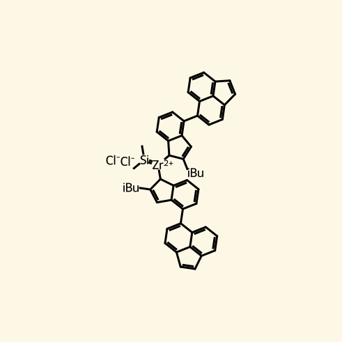 CCC(C)C1=Cc2c(-c3ccc4c5c(cccc35)C=C4)cccc2[CH]1[Zr+2]([CH]1C(C(C)CC)=Cc2c(-c3ccc4c5c(cccc35)C=C4)cccc21)=[Si](C)C.[Cl-].[Cl-]